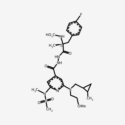 COCCN(CC1CC1C)c1cc(C(=O)NNC(=O)[C@@](C)(Cc2ccc(F)cc2)NC(=O)O)cc(N(C)S(C)(=O)=O)n1